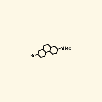 CCCCCCC1CCC2C(CCC3CC(Br)CCC32)C1